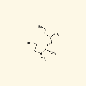 C=C(CCC(=O)O)[C@H](C)C=C[C@H](C)C=CCCCC